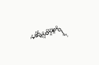 Cn1c(-c2cn(C3CC3(F)F)nc2C(F)(F)F)cnc1C(=O)Nc1ccc(C(=O)N[C@@H]2[C@@H]3CN(C(=O)N4CCN(CCCN)CC4)C[C@@H]32)c(Cl)c1